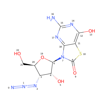 [N-]=[N+]=N[C@H]1[C@@H](O)[C@H](n2c(=O)sc3c(O)nc(N)nc32)O[C@@H]1CO